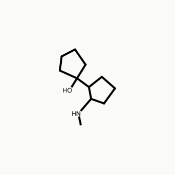 CNC1CCCC1C1(O)CCCC1